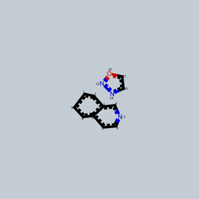 c1ccc2cnccc2c1.c1conn1